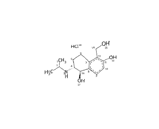 CC(C)N[C@@H]1CCc2c(ccc(O)c2CO)[C@H]1O.Cl